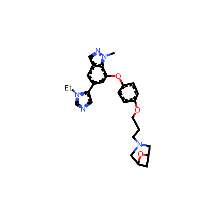 CCn1cncc1-c1cc(Oc2ccc(OCCCN3CC4CC(C3)O4)cc2)c2c(cnn2C)c1